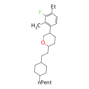 CCCCCC1CCC(CCC2CCC(c3ccc(CC)c(F)c3C)CO2)CC1